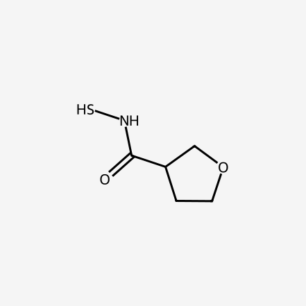 O=C(NS)C1CCOC1